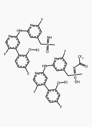 CCOc1cc(F)ccc1-c1cc(Nc2cc(CS(C)(=N)=O)cc(F)n2)ncc1F.CCOc1cc(F)ccc1-c1cc(Nc2cc(C[SH](C)(O)=NC(=O)C(F)(F)F)cc(F)n2)ncc1F